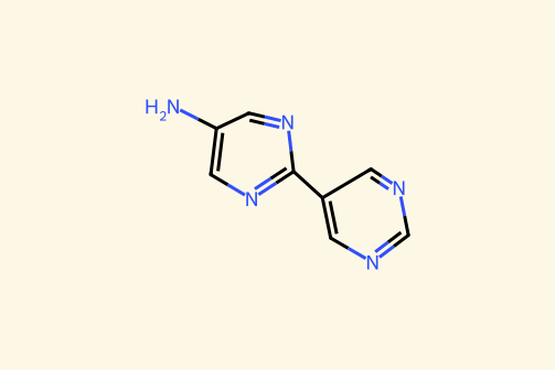 Nc1cnc(-c2cncnc2)nc1